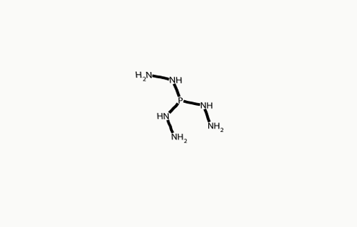 NNP(NN)NN